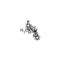 C[C@H](C(=O)N(C)c1cnn(-c2nc3ccccc3s2)c1)c1ccc(F)cc1